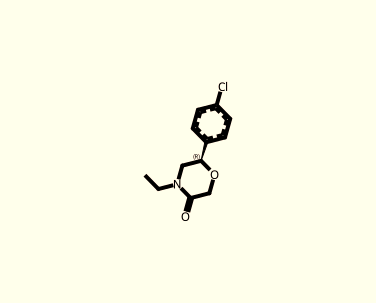 CCN1C[C@@H](c2ccc(Cl)cc2)OCC1=O